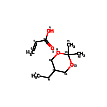 C=CC(=O)O.CCC1COC(C)(C)OC1